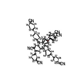 N#Cc1ccc(-c2ccc3c(c2)c2cc(-c4ccc(C#N)cc4)ccc2n3-c2cc(C#N)c(-c3cccc(C#N)c3)cc2-n2c3ccc(-c4ccc(C#N)cc4)cc3c3cc(-c4ccc(C#N)cc4)ccc32)cc1